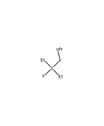 CCCCS(F)(CC)CC